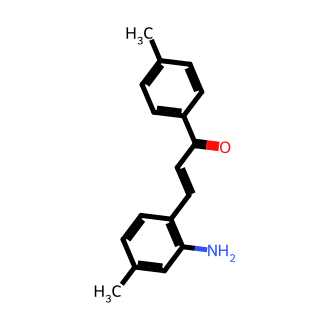 Cc1ccc(C(=O)C=Cc2ccc(C)cc2N)cc1